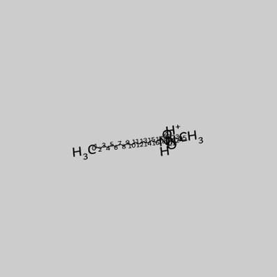 CCCCCCCCCCCCCCCCCCNC(=O)[NH+]([O-])CCC